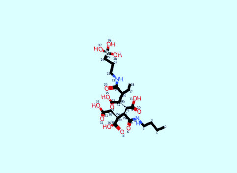 CCCCNC(=O)[C@H](C(C(=O)O)[C@H](C(=O)O)C(CC)C(=O)NCCC[Si](O)(O)O)[C@H](CC(=O)O)C(=O)O